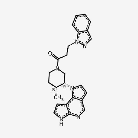 C[C@@H]1CCN(C(=O)CCn2ncc3ccccc32)C[C@@H]1n1ccc2cnc3[nH]ccc3c21